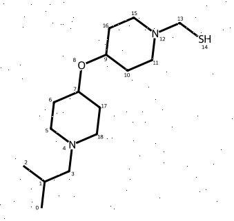 CC(C)CN1CCC(OC2CCN(CS)CC2)CC1